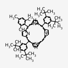 Cc1cc(C)c(-c2c3nc(c(-c4cc(C(C)(C)C)cc(C(C)(C)C)c4)c4ccc(cc5nc(c(-c6cc(C(C)(C)C)cc(C(C)(C)C)c6)c6ccc2[nH]6)C=C5)[nH]4)C=C3)c(C)c1